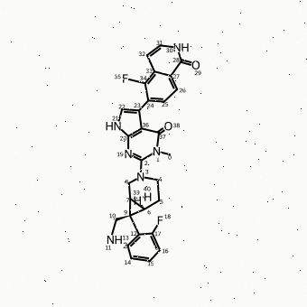 Cn1c(N2CC[C@@H]3[C@H](C2)[C@@]3(CN)c2ccccc2F)nc2[nH]cc(-c3ccc4c(=O)[nH]ccc4c3F)c2c1=O